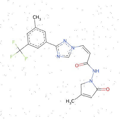 CC1=CC(=O)N(NC(=O)/C=C\n2cnc(-c3cc(C)cc(C(F)(F)F)c3)n2)C1